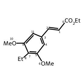 CCOC(=O)C=Cc1cc(OC)c(CC)c(OC)c1